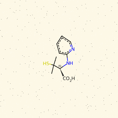 CC(C)(S)[C@@H](Nc1ccccn1)C(=O)O